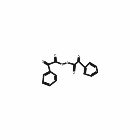 O=C(SSC(=O)C(=S)c1ccccc1)C(=S)c1ccccc1